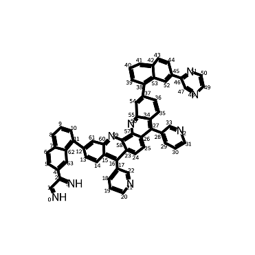 N=CC(=N)c1ccc2cccc(-c3ccc4c(-c5cccnc5)c5ccc6c(-c7cccnc7)c7ccc(-c8cccc9ccc(-c%10cnccn%10)cc89)cc7nc6c5nc4c3)c2c1